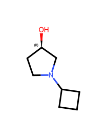 O[C@@H]1CCN(C2CCC2)C1